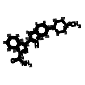 CN1CCN(c2ccc3nc(-c4nn(C(N)=O)c5c[c]ccc45)[nH]c3c2)CC1